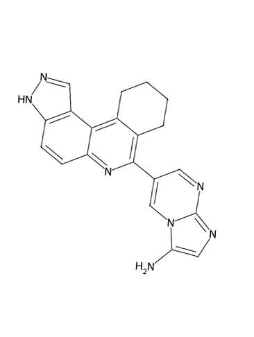 Nc1cnc2ncc(-c3nc4ccc5[nH]ncc5c4c4c3CCCC4)cn12